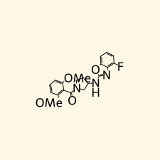 COc1cccc(OC)c1C(=O)N1CCC(Nc2nc3c(F)cccc3o2)C1